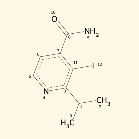 CC(C)c1nccc(C(N)=O)c1I